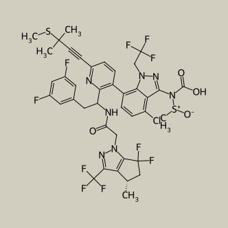 CSC(C)(C)C#Cc1ccc(-c2ccc(Cl)c3c(N(C(=O)O)[S+](C)[O-])nn(CC(F)(F)F)c23)c(C(Cc2cc(F)cc(F)c2)NC(=O)Cn2nc(C(F)(F)F)c3c2C(F)(F)C[C@@H]3C)n1